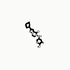 COc1ncc(NN2CCn3nc(-c4ccccc4)cc3C2=O)cc1F